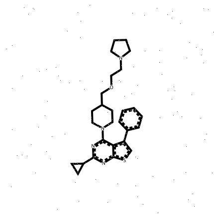 c1ccc(-c2csc3nc(C4CC4)nc(N4CCC(COCCN5CCCC5)CC4)c23)cc1